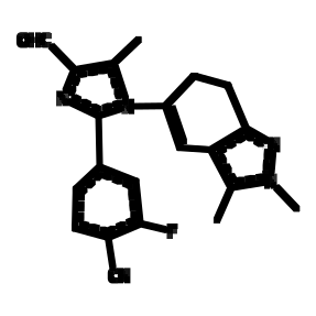 Cc1c2c(nn1C)CCC(n1c(-c3ccc(C#N)c(F)c3)nc(C=O)c1C)=C2